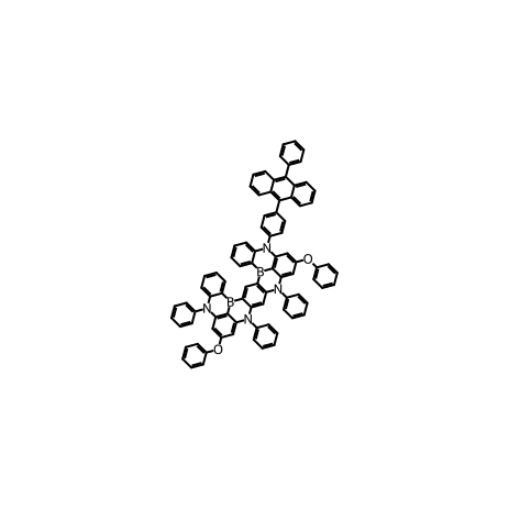 c1ccc(Oc2cc3c4c(c2)N(c2ccccc2)c2cc5c(cc2B4c2ccccc2N3c2ccccc2)B2c3ccccc3N(c3ccc(-c4c6ccccc6c(-c6ccccc6)c6ccccc46)cc3)c3cc(Oc4ccccc4)cc(c32)N5c2ccccc2)cc1